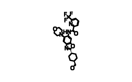 O=C[C@H]1CC[C@H](c2nc3cc(N4CCOCC4)c(NC(=O)c4cccc(C(F)(F)F)n4)cc3o2)CC1